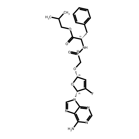 CC(C)COC(=O)[C@H](Cc1ccccc1)N[PH](=O)CO[C@@H]1C=C(F)[C@H](n2cnc3c(N)ncnc32)O1